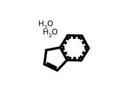 C1=Cc2ccccc2C1.O.O